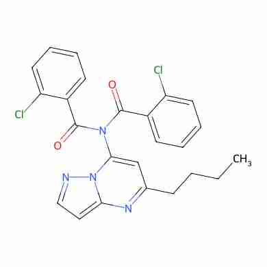 CCCCc1cc(N(C(=O)c2ccccc2Cl)C(=O)c2ccccc2Cl)n2nccc2n1